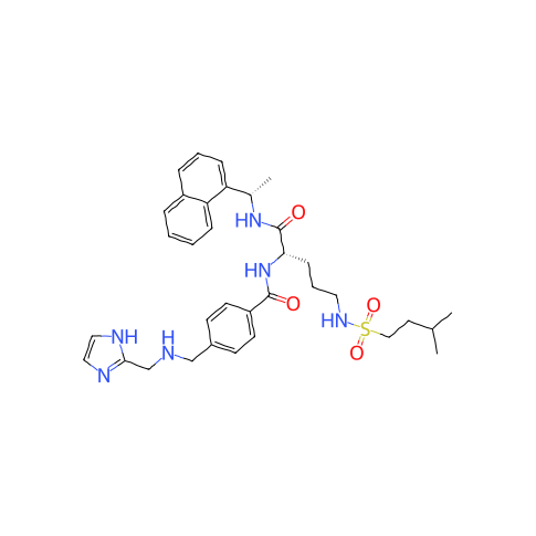 CC(C)CCS(=O)(=O)NCCC[C@H](NC(=O)c1ccc(CNCc2ncc[nH]2)cc1)C(=O)N[C@@H](C)c1cccc2ccccc12